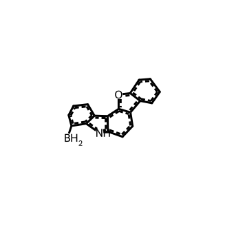 Bc1cccc2c1[nH]c1ccc3c4ccccc4oc3c12